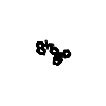 O=C(c1ccc(NS(=O)(=O)c2cccc3cccnc23)cc1)N1C2CCC1CN(Cc1ccccc1)C2